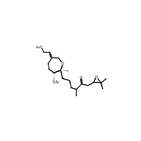 CC(=O)OC/C=C1\CC[C@@H](OC(C)=O)[C@](C)(CCCC(C)C(=O)CC2OC2(C)C)OC1